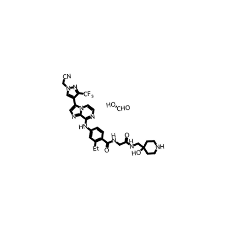 CCc1cc(Nc2nccn3c(-c4cn(CC#N)nc4C(F)(F)F)cnc23)ccc1C(=O)NCC(=O)NCC1(O)CCNCC1.O=CO